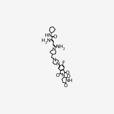 N/C(=C\C=C(/N)N1CCC(CN2CCN(c3cc4c(cc3F)C(=O)N(C3CCC(=O)NC3=O)C4=O)CC2)CC1)C(=O)NC1CCCCC1